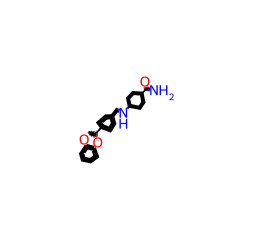 NC(=O)[C@H]1CC[C@@H](NCc2ccc([C@@H]3COc4ccccc4O3)cc2)CC1